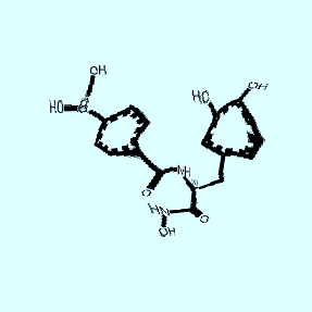 O=C(N[C@@H](Cc1ccc(O)c(O)c1)C(=O)NO)c1ccc(B(O)O)cc1